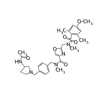 COc1cc(C)c(S(=O)(=O)N(C)Cc2nc(C(=O)N(C)Cc3ccc(CN4CCC(NC(C)=O)C4)cc3)co2)c(C)c1